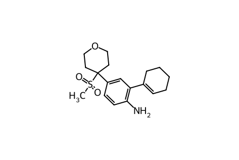 CS(=O)(=O)C1(c2ccc(N)c(C3=CCCCC3)c2)CCOCC1